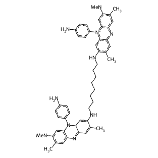 CNc1cc2c(cc1C)N=C1C=C(C)C(NCCCCCCCCNc3cc4c(cc3C)nc3cc(C)c(NC)cc3[n+]4-c3ccc(N)cc3)=CC1N2c1ccc(N)cc1